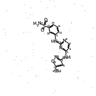 CC(C)(C)c1cc(Nc2ccnc(Nc3cccc(S(N)(=O)=O)c3)n2)no1